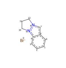 [Br-].c1ccc2c(c1)cn1[n+]2CCC1